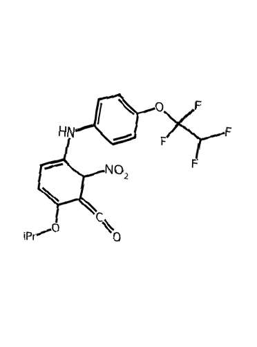 CC(C)OC1=CC=C(Nc2ccc(OC(F)(F)C(F)F)cc2)C([N+](=O)[O-])C1=C=O